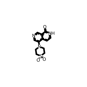 O=c1[nH]ccc2c(N3CCS(=O)(=O)CC3)cncc12